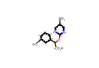 O=C(O)C(Oc1ncc([N+](=O)[O-])cn1)c1cccc(Br)c1